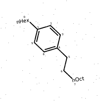 [CH2]CCCCCc1ccc(CCCCCCCCCC)cc1